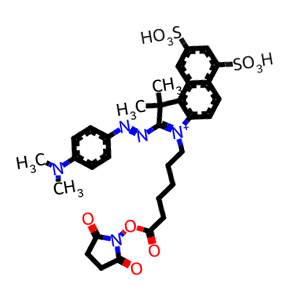 CN(C)c1ccc(N=NC2=[N+](CCCCCC(=O)ON3C(=O)CCC3=O)c3ccc4c(S(=O)(=O)O)cc(S(=O)(=O)O)cc4c3C2(C)C)cc1